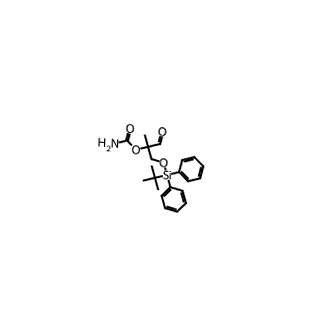 CC(C=O)(CO[Si](c1ccccc1)(c1ccccc1)C(C)(C)C)OC(N)=O